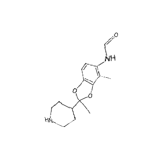 Cc1c(NC=O)ccc2c1OC(C)(C1CCNCC1)O2